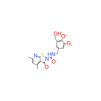 COc1cc(CNC(=O)n2sc3nc(C)cc(C)c3c2=O)cc(CO)c1OC